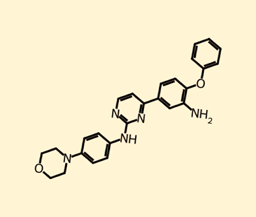 Nc1cc(-c2ccnc(Nc3ccc(N4CCOCC4)cc3)n2)ccc1Oc1ccccc1